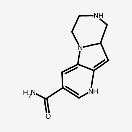 NC(=O)C1=CNC2=CC3CNCCN3C2=C1